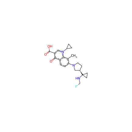 Cc1c(N2CC[C@@H](C3(NCF)CC3)C2)ccc2c(=O)c(C(=O)O)cn(C3CC3)c12